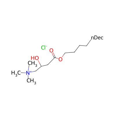 CCCCCCCCCCCCCCOC(=O)CC(O)C[N+](C)(C)C.[Cl-]